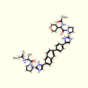 COC(=O)NC(C(=O)N1CCC[C@H]1c1ncc(-c2ccc(-c3ccc4cc(-c5cnc([C@@H]6CCCN6C(=O)[C@@H](NC(=O)OC)C(C)C)[nH]5)ccc4c3)cc2)[nH]1)C1CCOCC1